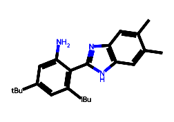 CCC(C)c1cc(C(C)(C)C)cc(N)c1-c1nc2cc(C)c(C)cc2[nH]1